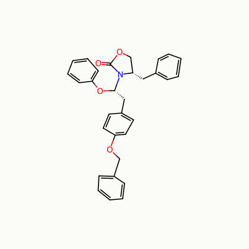 O=C1OC[C@H](Cc2ccccc2)N1[C@H](Cc1ccc(OCc2ccccc2)cc1)Oc1ccccc1